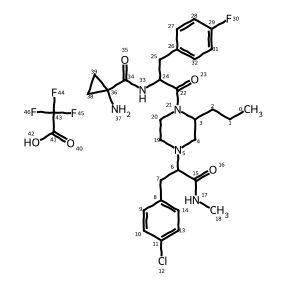 CCCC1CN(C(Cc2ccc(Cl)cc2)C(=O)NC)CCN1C(=O)C(Cc1ccc(F)cc1)NC(=O)C1(N)CC1.O=C(O)C(F)(F)F